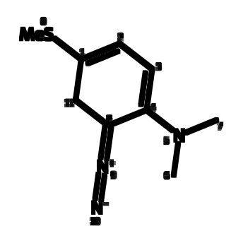 CSC1=CC=C(N(C)C)C(=[N+]=[N-])C1